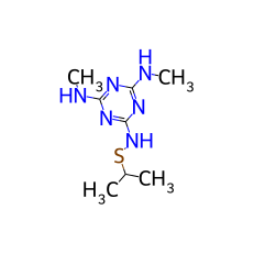 CNc1nc(NC)nc(NSC(C)C)n1